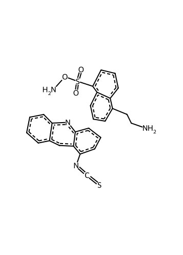 NCCc1cccc2c(S(=O)(=O)ON)cccc12.S=C=Nc1cccc2nc3ccccc3cc12